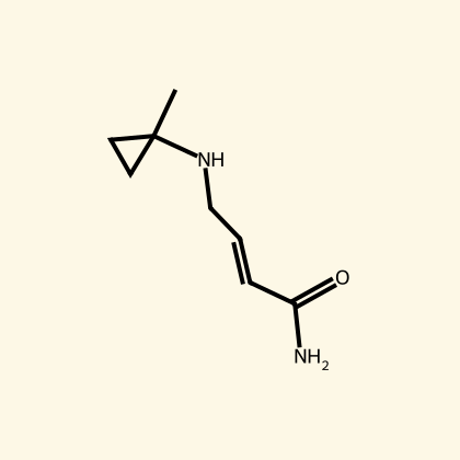 CC1(NCC=CC(N)=O)CC1